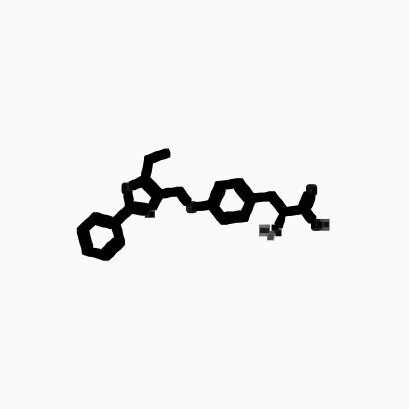 CCc1oc(-c2ccccc2)nc1COc1ccc(C[C@H](N)C(=O)O)cc1